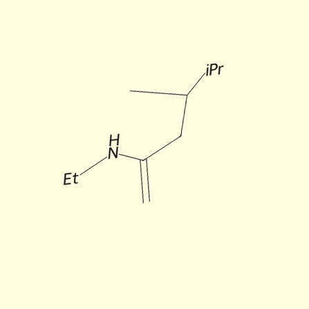 C=C(CC(C)C(C)C)NCC